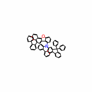 c1ccc(-c2ccccc2-c2cc3c(oc4cccc(N(c5ccc6c(c5)C(c5ccccc5)(c5ccccc5)c5ccccc5-6)c5ccccc5-c5ccccc5)c43)c3ccccc23)cc1